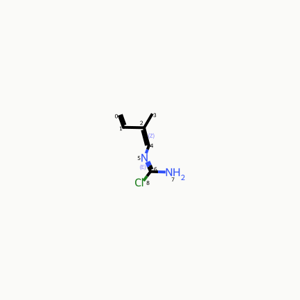 C=C/C(C)=C\N=C(/N)Cl